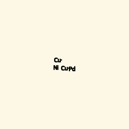 [Cu].[Cu].[Ni].[Pd]